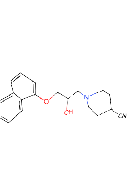 N#CC1CCN(CC(O)COc2cccc3ccccc23)CC1